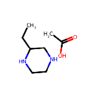 CC(=O)O.CCC1CNCCN1